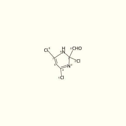 O=CC1(Cl)N=C(Cl)C=C(Cl)N1